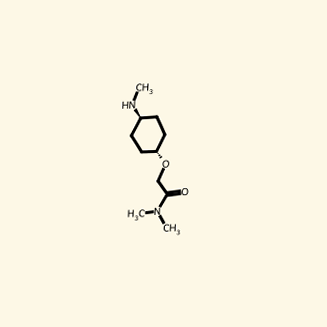 CN[C@H]1CC[C@H](OCC(=O)N(C)C)CC1